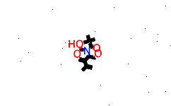 C=C(C)C(=C)C(C=O)N(C(=O)O)C(=O)C(C)(C)C